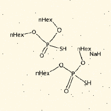 CCCCCCOP(=O)(S)OCCCCCC.CCCCCCOP(=O)(S)OCCCCCC.[NaH]